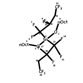 CCCCCCCC[O][Sn]([O]CCCCCCCC)([C](F)(F)C(F)(F)CC(F)(F)F)[C](F)(F)C(F)(F)CC(F)(F)F